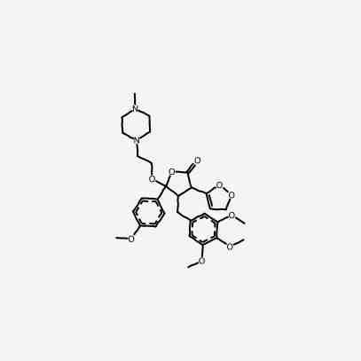 COc1ccc(C2(OCCN3CCN(C)CC3)OC(=O)C(C3=CCOO3)C2Cc2cc(OC)c(OC)c(OC)c2)cc1